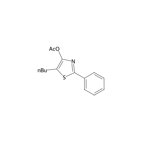 CCCCc1sc(-c2ccccc2)nc1OC(C)=O